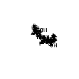 Cc1cccc(C)c1-c1cccc([C@H](CC(=O)O)NC(=O)[C@H](CC(C)C)n2cc(C(c3cccc(-c4cc([C@H](CC(=O)O)NC(=O)[C@H](CC(C)C)n5ccc(C(F)(F)F)cc5=O)cnc4C)c3C)N3CC(F)C3)ccc2=O)c1